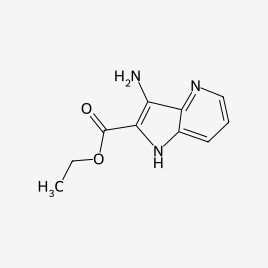 CCOC(=O)c1[nH]c2cccnc2c1N